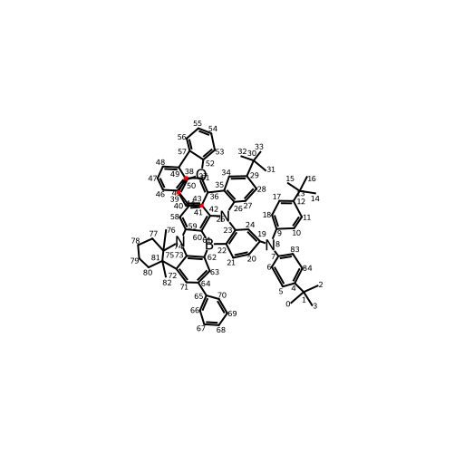 CC(C)(C)c1ccc(N(c2ccc(C(C)(C)C)cc2)c2ccc3c(c2)N(c2ccc(C(C)(C)C)cc2-c2ccccc2)c2cc(-c4cccc5c4oc4ccccc45)cc4c2B3c2cc(-c3ccccc3)cc3c2N4C2(C)CCCCC32C)cc1